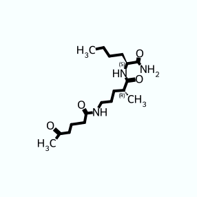 CCCC[C@H](NC(=O)[C@H](C)CCCNC(=O)CCCC(C)=O)C(N)=O